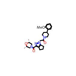 COc1ccccc1C1CCN(C(=O)Cn2nc(C(=O)N3C[C@@H](C)O[C@@H](C)C3)c3c2CCC3)CC1